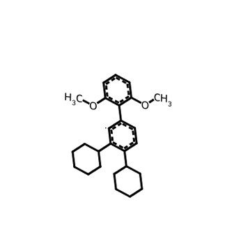 COc1cccc(OC)c1-c1[c]c(C2CCCCC2)c(C2CCCCC2)cc1